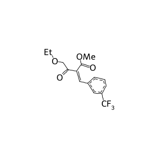 CCOCC(=O)C(=Cc1cccc(C(F)(F)F)c1)C(=O)OC